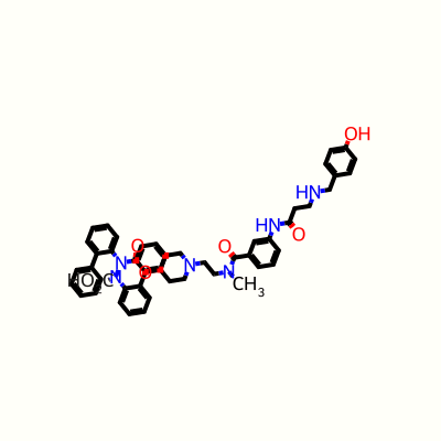 CN(CCN1CCC(OC(=O)N(c2ccccc2-c2ccccc2)N(C(=O)O)c2ccccc2-c2ccccc2)CC1)C(=O)c1cccc(NC(=O)CCNCc2ccc(O)cc2)c1